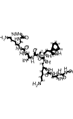 CNC(=O)NC[C@H](CCCCN)NC(=O)NC[C@@H](NC(=O)NC[C@H](Cc1c[nH]c2ccccc12)NC(=O)NC[C@H](CCCCN)NC(=O)NC[C@@H](NC(=O)NC(C)C)C(C)C)C(C)C